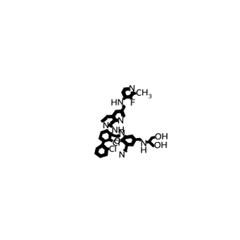 Cc1nccc(NCc2cnc3c(NC4(c5nc6cc(CNC(CO)CO)cc(C#N)c6o5)C=CC=C(c5ccccc5Cl)C4Cl)nccc3c2)c1F